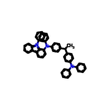 CC(c1ccc(N(c2ccccc2)c2ccccc2)cc1)c1ccc(N(c2ccccc2)c2cccc3c4ccccc4n(-c4ccccc4)c23)cc1